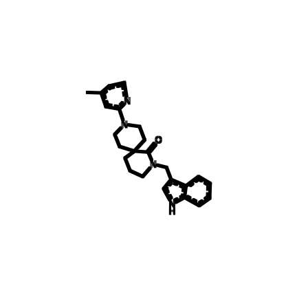 Cc1ccnc(N2CCC3(CCCN(Cc4c[nH]c5ccccc45)C3=O)CC2)c1